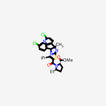 CC[C@@H]1CC[C@@H](C(=O)OC)N1C(=O)C1=C(C(C)C)N2C(=NC(C)(c3ccc(Cl)nc3)C2c2ccc(Cl)cc2)S1